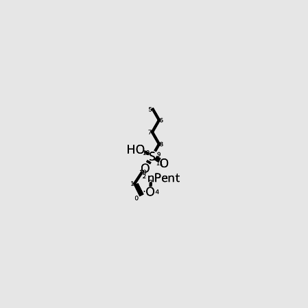 C=CC.CCCCC[O].CCCCS(=O)(=O)O